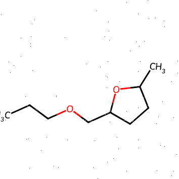 CCCOCC1CCC(C)O1